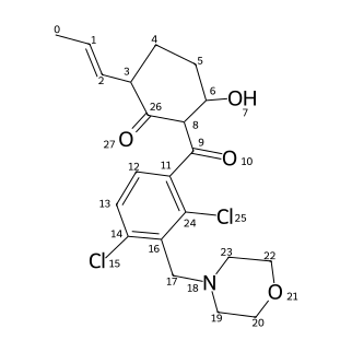 C/C=C/C1CCC(O)C(C(=O)c2ccc(Cl)c(CN3CCOCC3)c2Cl)C1=O